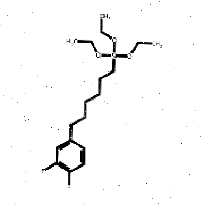 CCO[Si](CCCCCCc1ccc(F)c(F)c1)(OCC)OCC